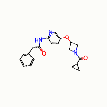 O=C(Cc1ccccc1)Nc1ccc(OC2CN(C(=O)C3CC3)C2)cn1